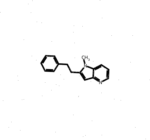 Cn1c(CCc2ccccc2)cc2ncccc21